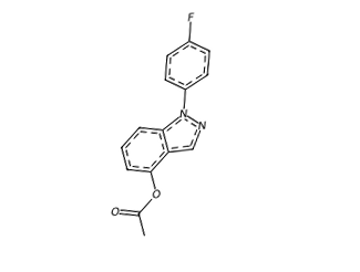 CC(=O)Oc1cccc2c1cnn2-c1ccc(F)cc1